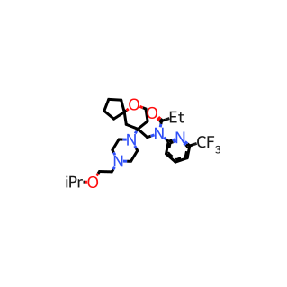 CCC(=O)N(CC1(N2CCN(CCOC(C)C)CC2)CCOC2(CCCC2)C1)c1cccc(C(F)(F)F)n1